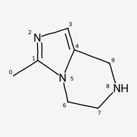 Cc1ncc2n1CCNC2